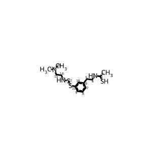 CC(S)NCCc1cccc(SSNCCN(C)C)c1